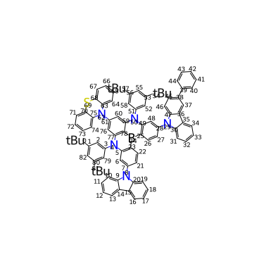 CC(C)(C)c1cc(N2c3cc(-n4c5ccccc5c5ccccc54)ccc3B3c4ccc(-n5c6ccccc6c6cc(-c7ccccc7)ccc65)cc4N(c4cc(C(C)(C)C)cc(C(C)(C)C)c4)c4cc(N5c6ccccc6Sc6ccccc65)cc2c43)cc(C(C)(C)C)c1